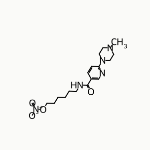 CN1CCN(c2ccc(C(=O)NCCCCCCO[N+](=O)[O-])cn2)CC1